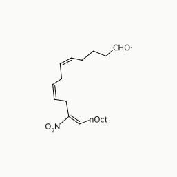 CCCCCCCC/C=C(\C/C=C\C/C=C\CCC[C]=O)[N+](=O)[O-]